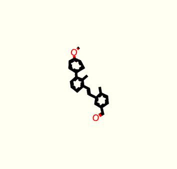 COc1ccc(-c2cccc(/C=C/c3cc(C=O)ccc3C)c2C)cc1